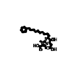 Cc1nc(SC(/C=C\CCCCCCCCc2ccccc2)C(O)CCC(=O)O)n(C)c1C(=O)O